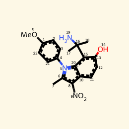 COc1ccc(-n2c(C)c([N+](=O)[O-])c3ccc(O)c(C(C)(C)N)c32)cc1